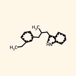 CCc1cccc(CC(C)Cc2c[nH]c3ccccc23)c1